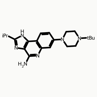 CC(C)c1nc2c(N)nc3cc(N4CCN(C(C)(C)C)CC4)ccc3c2[nH]1